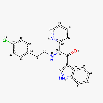 O=C(c1c[nH]c2ccccc12)[C@H](NCCc1ccc(Cl)cc1)c1ccccn1